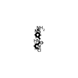 Nc1nc2ccc(CNC(=O)c3cccc(Cl)n3)cc2s1